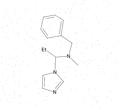 CCC(N(C)Cc1ccccc1)n1ccnc1